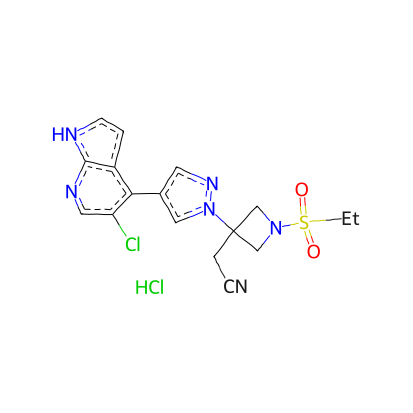 CCS(=O)(=O)N1CC(CC#N)(n2cc(-c3c(Cl)cnc4[nH]ccc34)cn2)C1.Cl